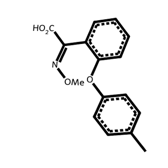 CO/N=C(/C(=O)O)c1ccccc1Oc1ccc(C)cc1